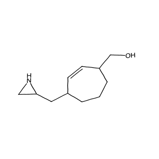 OCC1C=CC(CC2CN2)CCC1